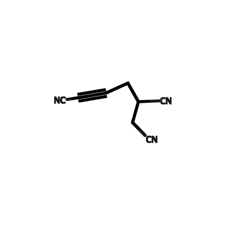 N#CC#CCC(C#N)CC#N